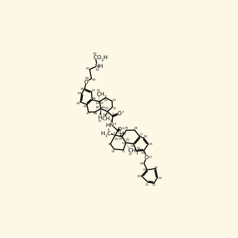 C[C@]1(C(=O)NC(=O)[C@@]2(C)CCC[C@]3(C)c4cc(OCc5ccccc5)ccc4CC[C@@H]23)CCC[C@]2(C)c3cc(OCCNC(=O)O)ccc3CC[C@@H]12